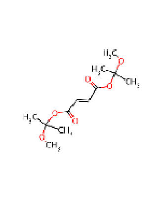 COC(C)(C)OC(=O)C=CC(=O)OC(C)(C)OC